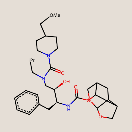 COCC1CCN(C(=O)N(CC(C)C)C[C@@H](O)[C@H](Cc2ccccc2)NC(=O)OC2C3COC4OCC2C4C3)CC1